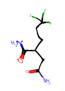 NC(=O)CC(CCC(F)(F)F)C(N)=O